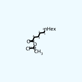 CCCCCCCCCCC(=O)O[C@@H](C)Cl